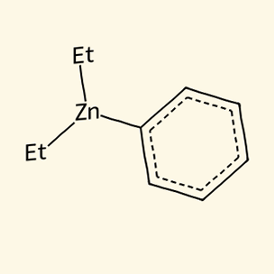 C[CH2][Zn]([CH2]C)[c]1ccccc1